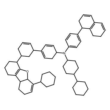 C1=CC2=C(CC1)C(c1ccc(N(C3C=CC(C4C=CCC(C5CCCC6=C5OC5C(C7CCCCC7)=CCCC65)C4)=CC3)C3CCC(C4CCCCC4)CC3)cc1)CC=C2